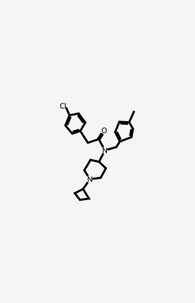 Cc1ccc(CN(C(=O)Cc2ccc(Cl)cc2)C2CCN(C3CCC3)CC2)cc1